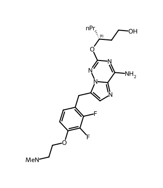 CCC[C@H](CCO)Oc1nc(N)c2ncc(Cc3ccc(OCCNC)c(F)c3F)n2n1